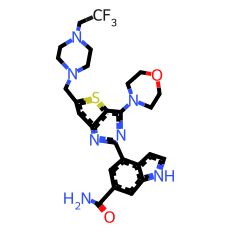 NC(=O)c1cc(-c2nc(N3CCOCC3)c3sc(CN4CCN(CC(F)(F)F)CC4)cc3n2)c2cc[nH]c2c1